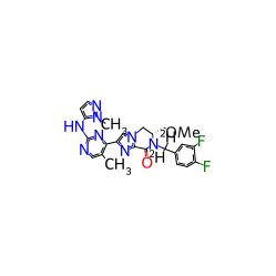 [2H]C([2H])(c1ccc(F)c(F)c1)N1C(=O)c2nc(-c3nc(Nc4ccnn4C)ncc3C)cn2C[C@@H]1COC